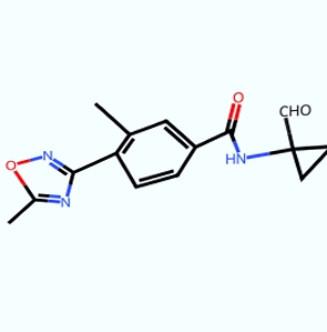 Cc1nc(-c2ccc(C(=O)NC3(C=O)CC3)cc2C)no1